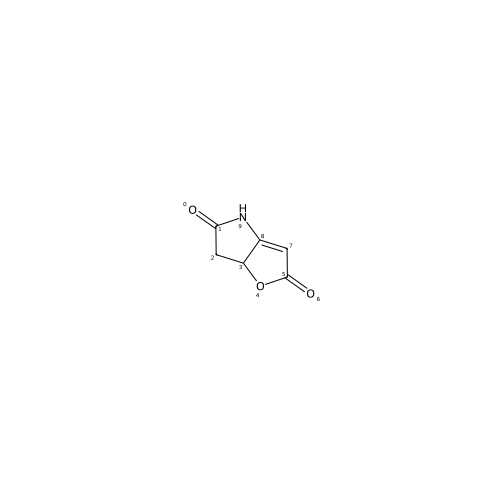 O=C1CC2OC(=O)C=C2N1